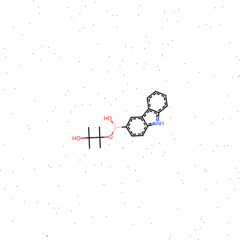 CC(C)(O)C(C)(C)OB(O)c1ccc2[nH]c3ccccc3c2c1